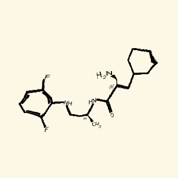 C[C@@H](CNc1c(F)cccc1F)NC(=O)[C@@H](N)CC1CCCCC1